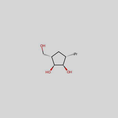 CC(C)[C@H]1C[C@@H](CO)[C@H](O)[C@@H]1O